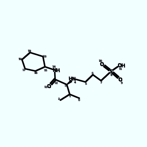 CC(C)[C@H](NCCCS(=O)(=O)O)C(=O)NC1CCCCC1